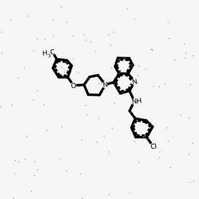 Cc1ccc(OC2CCN(c3cc(NCc4ccc(Cl)cc4)nc4ccccc34)CC2)cc1